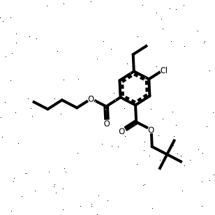 CCCCOC(=O)c1cc(CC)c(Cl)cc1C(=O)OCC(C)(C)C